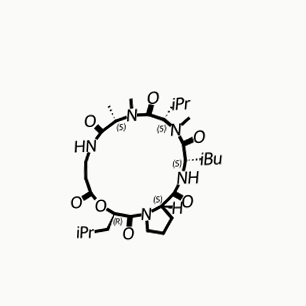 CCC(C)[C@@H]1NC(=O)[C@@H]2CCCN2C(=O)[C@@H](CC(C)C)OC(=O)CCNC(=O)[C@H](C)N(C)C(=O)[C@H](C(C)C)N(C)C1=O